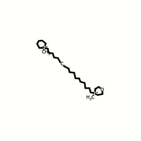 C[N+]1(CCCCCCCCCCCCCCCCCC[N+]2(C)CCOCC2)CCCCC1